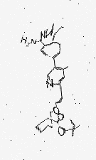 CCC1=C(C(=N)N)C=CC(c2cnc(CCOCC3(C(=O)OC(C)(C)C)CCC3)cc2C)=CC1